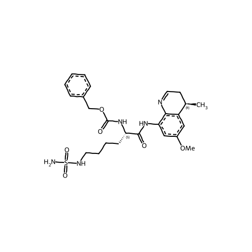 COc1cc(NC(=O)[C@H](CCCCNS(N)(=O)=O)NC(=O)OCc2ccccc2)c2c(c1)[C@H](C)CC=N2